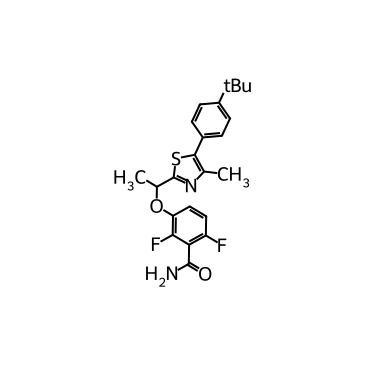 Cc1nc(C(C)Oc2ccc(F)c(C(N)=O)c2F)sc1-c1ccc(C(C)(C)C)cc1